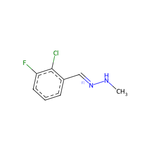 CN/N=C/c1cccc(F)c1Cl